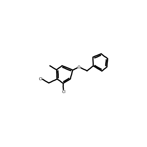 Cc1cc(OCc2ccccc2)cc(Cl)c1CCl